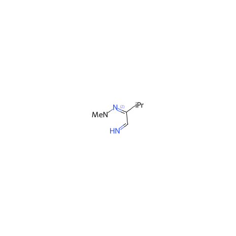 CN/N=C(\C=N)C(C)C